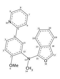 COc1ccc(-c2ccccn2)cc1N(C)c1occ2ccccc12